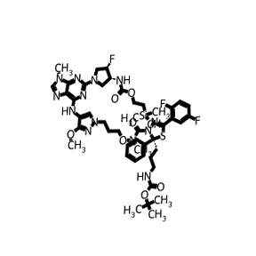 COc1nn(CCCON(C)C(=O)N2N=C(c3cc(F)ccc3F)S[C@@]2(CCCNC(=O)OC(C)(C)C)c2ccccc2)cc1Nc1nc(N2C[C@@H](F)[C@H](NC(=O)OCC[Si](C)(C)C)C2)nc2c1ncn2C